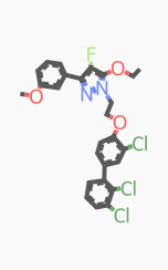 CCOc1c(F)c(-c2cccc(OC)c2)nn1CCOc1ccc(-c2cccc(Cl)c2Cl)cc1Cl